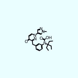 CCC(CC)(CC)N(C(=O)O)c1cccc(Cc2nn(-c3cnn(C)c3)ccc2=O)c1